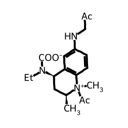 CCN(C(=O)[O-])[C@@H]1C[C@H](C)[N+](C)(C(C)=O)c2ccc(NCC(C)=O)cc21